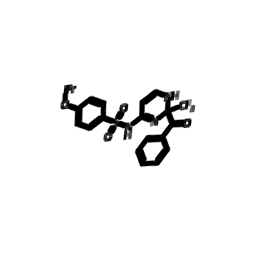 CC(C)Oc1ccc(S(=O)(=O)NC2=NC(C(=O)c3ccccc3)(C(F)(F)F)NC=C2)cc1